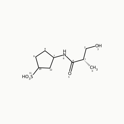 C[C@@H](CO)C(=O)NC1CCC(S(=O)(=O)O)C1